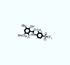 COc1cc(C(C)(C)C)c(O)c(C(=O)Nc2ccc(S(=O)(=O)C(F)(F)F)cc2C)c1C